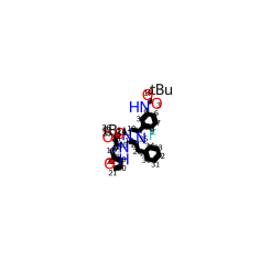 CC(C)(C)OC(=O)Nc1ccc(F)c(-c2cnc(N/C(=C\c3ccco3)C(=O)OC(C)(C)C)c(Cc3ccccc3)n2)c1